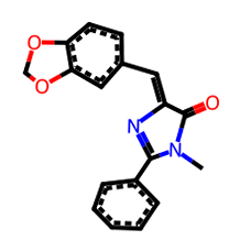 CN1C(=O)C(=Cc2ccc3c(c2)OCO3)N=C1c1ccccc1